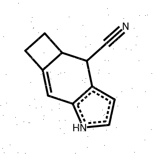 N#CC1c2cc[nH]c2C=C2CCC21